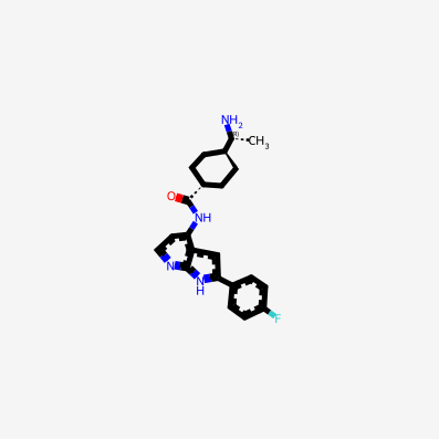 C[C@@H](N)[C@H]1CC[C@H](C(=O)Nc2ccnc3[nH]c(-c4ccc(F)cc4)cc23)CC1